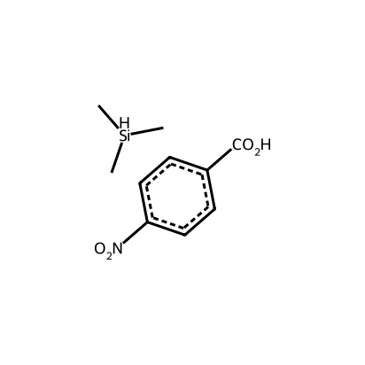 C[SiH](C)C.O=C(O)c1ccc([N+](=O)[O-])cc1